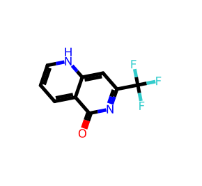 O=c1nc(C(F)(F)F)cc2[nH]cccc1-2